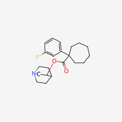 O=C(OC1CN2CCC1CC2)C1(c2cccc(F)c2)CCCCCC1